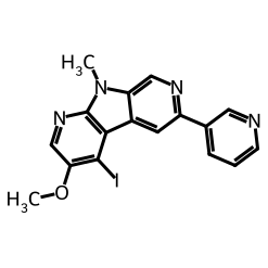 COc1cnc2c(c1I)c1cc(-c3cccnc3)ncc1n2C